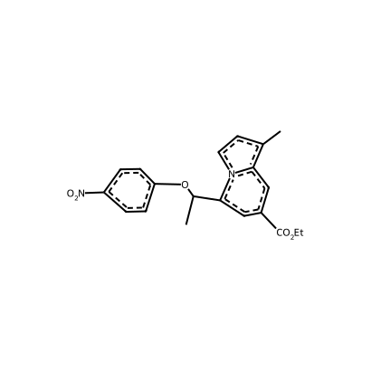 CCOC(=O)c1cc(C(C)Oc2ccc([N+](=O)[O-])cc2)n2ccc(C)c2c1